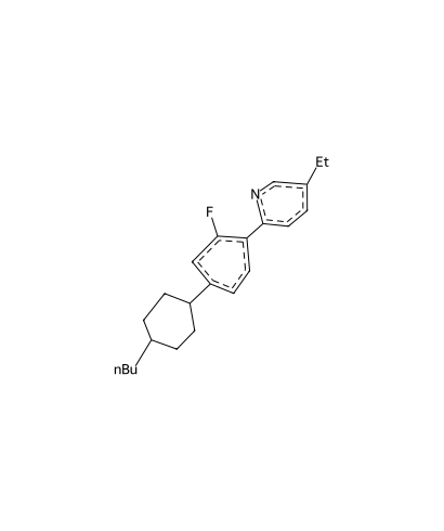 CCCCC1CCC(c2ccc(-c3ccc(CC)cn3)c(F)c2)CC1